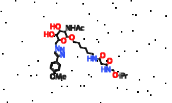 COc1ccc(-c2cn(CC3OC(OCCCCCCNC(=O)CC(=O)NCOC(C)C)C(NC(C)=O)C(O)C3O)nn2)cc1